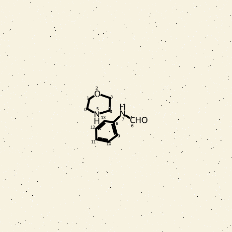 C1COCCN1.O=CNc1ccccc1